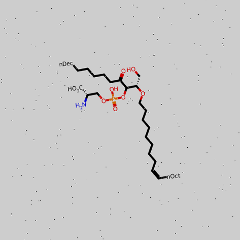 CCCCCCCC/C=C\CCCCCCCCO[C@@H](CO)C(OP(=O)(O)OC[C@H](N)C(=O)O)C(=O)CCCCCCCCCCCCCCC